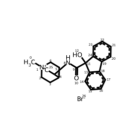 C[N+]12CCC(CC1)C(NC(=O)C1(O)c3ccccc3-c3ccccc31)C2.[Br-]